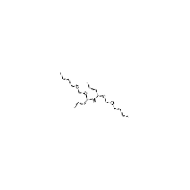 CCCCOCOC(CCC)[N]C(CCC)OCOCCCC